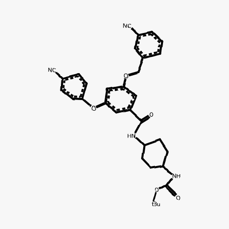 CC(C)(C)OC(=O)NC1CCC(NC(=O)c2cc(OCc3cccc(C#N)c3)cc(Oc3ccc(C#N)cc3)c2)CC1